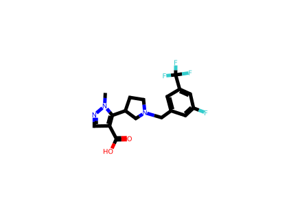 Cn1ncc(C(=O)O)c1C1CCN(Cc2cc(F)cc(C(F)(F)F)c2)C1